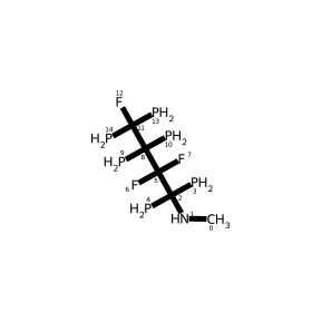 CNC(P)(P)C(F)(F)C(P)(P)C(F)(P)P